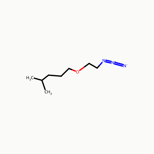 CC(C)CCCOCCN=[N+]=[N-]